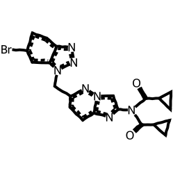 O=C(C1CC1)N(C(=O)C1CC1)c1cn2nc(Cn3nnc4ccc(Br)cc43)ccc2n1